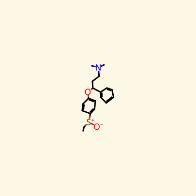 CC[S+]([O-])c1ccc(OC(CCN(C)C)c2ccccc2)cc1